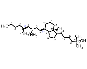 CCCC/C(N)=C/N(N)C/C=C1\CCCC2(C)C(CCCCC(C)(C)O)CCC12